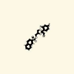 O=S(=O)(OCC1COC(CBr)(c2ccc(F)cc2F)O1)c1ccc2ccccc2c1